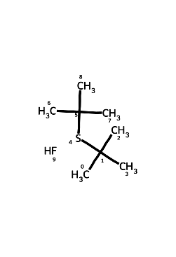 CC(C)(C)SC(C)(C)C.F